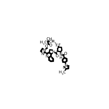 Cc1ccn(-c2ccc(C(=O)N[C@@H]3CCC(F)(F)C[C@@H]3C(=O)N3CCc4c(-c5nccn5COC(=O)C(C)(C)C)nc5ccccc5c43)cc2)n1